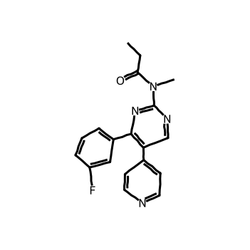 CCC(=O)N(C)c1ncc(-c2ccncc2)c(-c2cccc(F)c2)n1